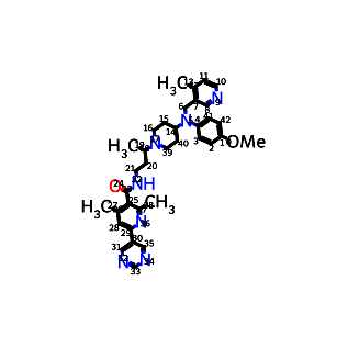 COc1ccc(N(Cc2cnccc2C)C2CCN(C(C)CCNC(=O)c3c(C)cc(-c4cncnc4)nc3C)CC2)cc1